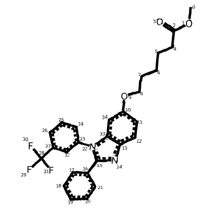 COC(=O)CCCCCOc1ccc2nc(-c3ccccc3)n(-c3cccc(C(F)(F)F)c3)c2c1